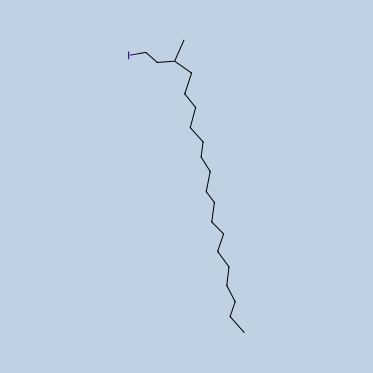 CCCCCCCCCCCCCCCCCC(C)CCI